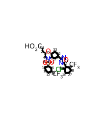 O=C(O)CCC1CN(S(=O)(=O)c2cccc(C(F)(F)F)c2)c2cc(-c3noc(-c4c(Cl)cccc4C(F)(F)F)n3)ccc2O1